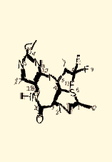 Cc1nc2c(s1)N(CC(F)(F)F)c1nc(Cl)ncc1NC2=O